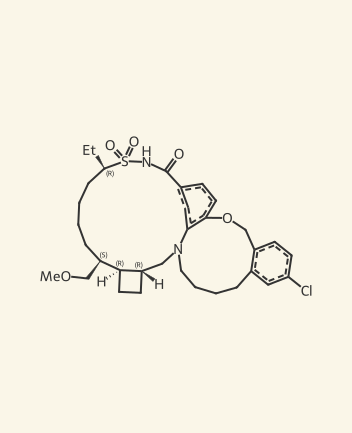 CC[C@@H]1CCCC[C@H](COC)[C@@H]2CC[C@H]2CN2CCCCc3cc(Cl)ccc3COc3ccc(cc32)C(=O)NS1(=O)=O